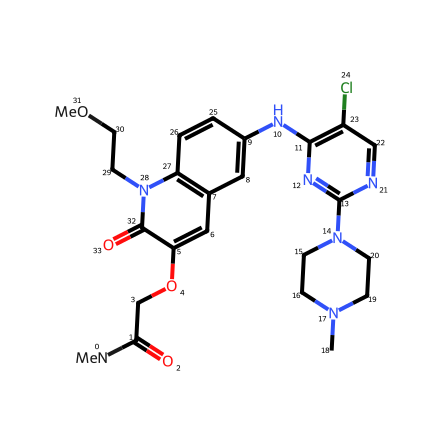 CNC(=O)COc1cc2cc(Nc3nc(N4CCN(C)CC4)ncc3Cl)ccc2n(CCOC)c1=O